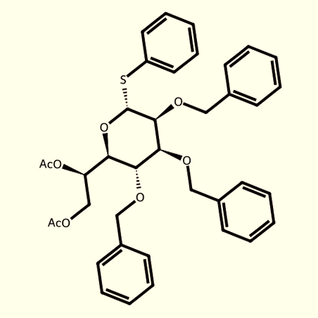 CC(=O)OC[C@@H](OC(C)=O)[C@H]1O[C@H](Sc2ccccc2)[C@@H](OCc2ccccc2)[C@@H](OCc2ccccc2)[C@@H]1OCc1ccccc1